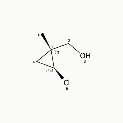 C[C@]1(CO)C[C@@H]1Cl